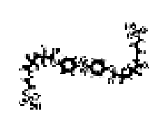 CC(C)(CC(C)(C)C(=O)Oc1ccc(S(=O)(=O)c2ccc(OC(=O)C(C)(C)CC(C)(C)C(=O)OCCOS(=O)(=O)O)cc2)cc1)C(=O)OCCCS(=O)(=O)O